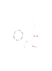 CCCCC(=O)N1CCOC1=O.c1ccccc1